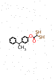 CC(c1ccccc1)c1ccc(OC(=O)C(S)S)cc1